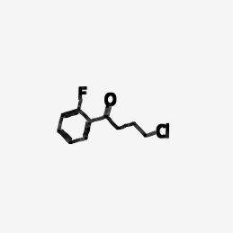 O=C(CCCCl)c1ccccc1F